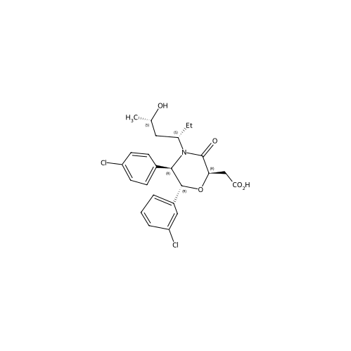 CC[C@@H](C[C@H](C)O)N1C(=O)[C@@H](CC(=O)O)O[C@H](c2cccc(Cl)c2)[C@H]1c1ccc(Cl)cc1